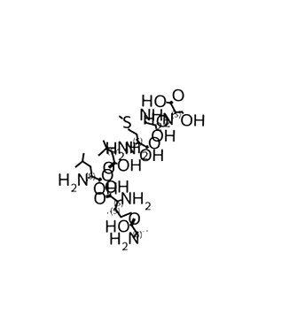 CC(C)C[C@H](N)C(=O)O.CC(C)[C@H](N)C(=O)O.CC[C@H](C)[C@H](N)C(=O)O.CSCC[C@H](N)C(=O)O.C[C@H](N)C(=O)O.NCC(=O)O.N[C@@H](CO)C(=O)O